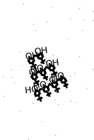 CC(C)(C)c1ccc(O)c(Cc2cc(C(C)(C)C)cc(Cc3cc(C(C)(C)C)cc(Cc4cc(C(C)(C)C)ccc4O)c3O)c2O)c1.CC(C)(C)c1ccc(O)c(Cc2cc(C(C)(C)C)cc(Cc3cc(C(C)(C)C)ccc3O)c2O)c1.CC(C)(C)c1ccc(O)c(Cc2cc(C(C)(C)C)ccc2O)c1